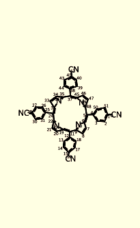 N#Cc1ccc(C2=C3C=CC(=N3)C(c3ccc(C#N)cc3)=C3C=CC(=N3)C(c3ccc(C#N)cc3)=C3C=CC(=N3)C(c3ccc(C#N)cc3)=C3C=CC2=N3)cc1